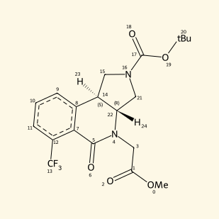 COC(=O)CN1C(=O)c2c(cccc2C(F)(F)F)[C@H]2CN(C(=O)OC(C)(C)C)C[C@@H]21